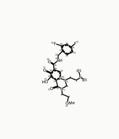 CCN(CC)CCN1CN(CCOC)C(=O)c2c(O)c(=O)c(C(=O)NCc3ccc(F)cc3F)cn21